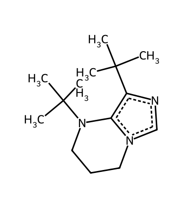 CC(C)(C)c1ncn2c1N(C(C)(C)C)CCC2